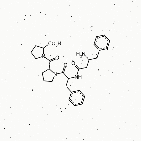 NC(CC(=O)NC(Cc1ccccc1)C(=O)N1CCCC1C(=O)N1CCCC1C(=O)O)Cc1ccccc1